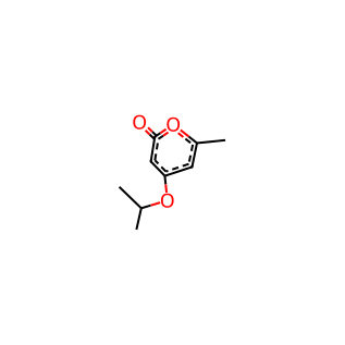 Cc1cc(OC(C)C)cc(=O)o1